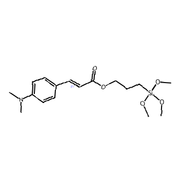 CO[Si](CCCOC(=O)/C=C/c1ccc(N(C)C)cc1)(OC)OC